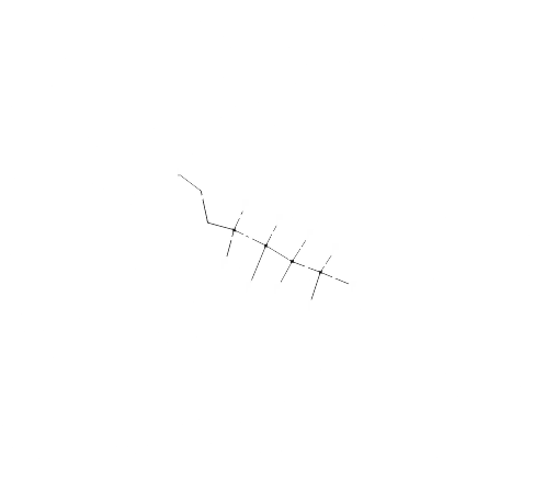 FC(F)(I)C(F)(F)C(F)(F)C(F)(F)CCI